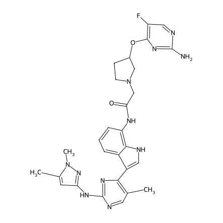 Cc1cnc(Nc2cc(C)n(C)n2)nc1-c1c[nH]c2c(NC(=O)CN3CCC(Oc4nc(N)ncc4F)C3)cccc12